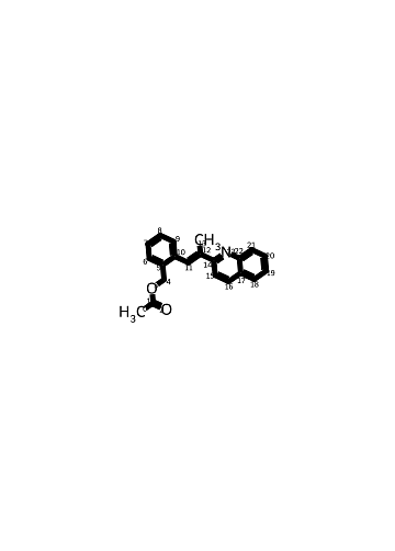 CC(=O)OCc1ccccc1/C=C(\C)c1ccc2ccccc2n1